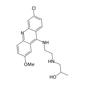 COc1ccc2nc3cc(Cl)ccc3c(NCCNCC(C)O)c2c1